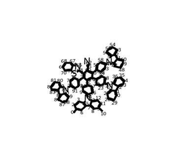 Cc1ccc2c(c1)c1cc(C)ccc1n2-c1ccc(-c2c(-c3ccc(-n4c5ccccc5c5ccccc54)cc3)c(-c3ccc(-n4c5ccccc5c5ccccc54)cc3)c(C#N)c(-c3nc4ccccc4s3)c2-c2ccc(-n3c4ccccc4c4ccccc43)cc2)cc1